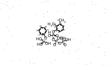 Cc1cccc(OP(=O)(O)OP(=O)(O)OP(=O)(O)O)c1C.O[Si](O)(O)Oc1ccccc1